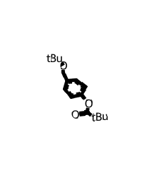 CC(C)(C)OCc1ccc(OC(=O)C(C)(C)C)cc1